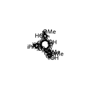 CO/N=C1\C[C@@H](C)O[C@@H](O[C@@H]2[C@@H](C)[C@H](O[C@H]3CC(C)N(C(C)C)C[C@H](C)O3)[C@@H](C)C(=O)O[C@H]([C@@H](C)CO[C@@H]3O[C@@H](C)[C@@H](O)[C@@H](OC)[C@H]3OC)[C@H](C)[C@@H](OC(=O)CC(C)C)[C@@H](C)C(=O)[C@@](C)(O)C[C@@H]2C)[C@@H]1O